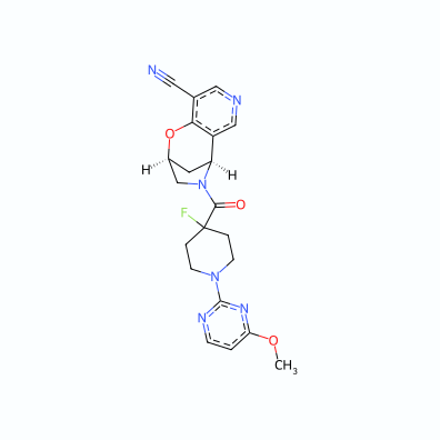 COc1ccnc(N2CCC(F)(C(=O)N3C[C@@H]4C[C@H]3c3cncc(C#N)c3O4)CC2)n1